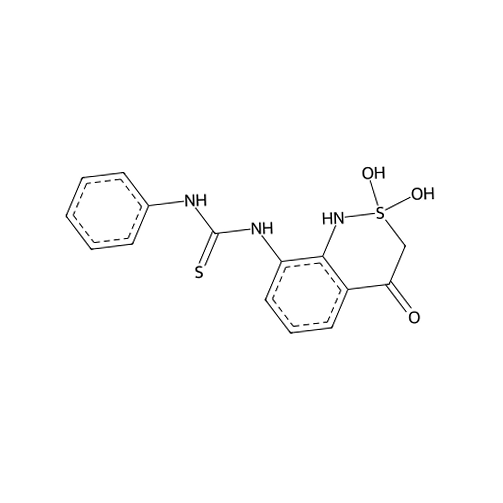 O=C1CS(O)(O)Nc2c(NC(=S)Nc3ccccc3)cccc21